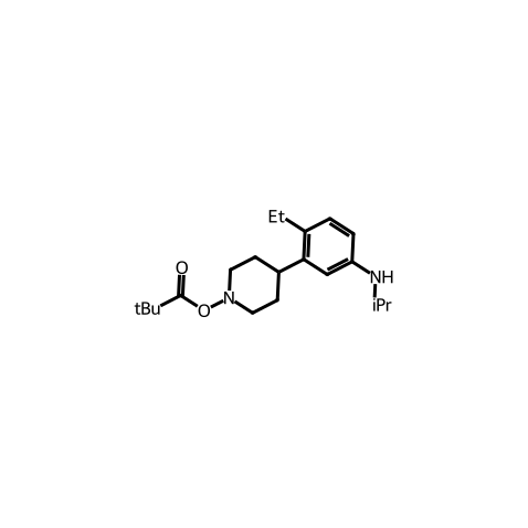 CCc1ccc(NC(C)C)cc1C1CCN(OC(=O)C(C)(C)C)CC1